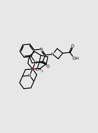 CC12CC3CC(N4C5CCCC4CC(n4c(=O)c(N6CC(C(=O)O)C6)nc6ccccc64)C5)CC1CC2C3